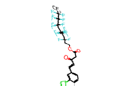 O=C(C=Cc1cccc(Cl)c1)CC(=O)OCCC(F)(F)C(F)(F)C(F)(F)C(F)(F)C(F)(F)C(F)(F)F